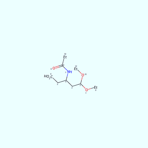 CCOC(CC(CC(=O)O)NC(=O)CC)OCC